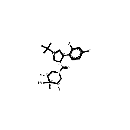 C[C@@H]1CN(C(=O)[C@@H]2CN(C(C)(C)C)C[C@H]2c2ccc(F)cc2F)C[C@H](C)[C@]1(C)O